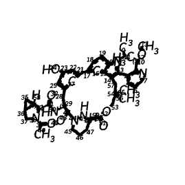 CCn1c(-c2cccnc2[C@H](C)OC)c2c3cc(ccc31)-c1cc(O)cc(c1)C[C@H](NC(=O)[C@@H]1[C@H]3CC3CN1C(C)=O)C(=O)N1CCC[C@H](N1)C(=O)OCC(C)(C)C2